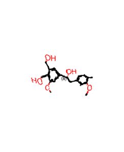 COc1cc(C[C@@H](O)c2cc(CO)c(CO)c(OC)c2)ccc1C